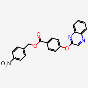 O=C(OCc1ccc([N+](=O)[O-])cc1)c1ccc(Oc2cnc3ccccc3n2)cc1